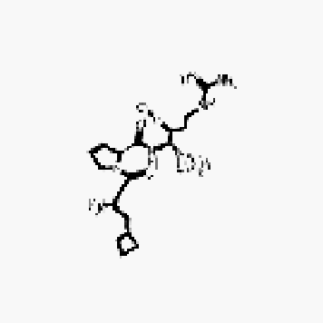 N=C(N)NCCC(=C=O)[C@H](NC(=O)[C@@H]1CCCN1C(=O)[C@H](N)CC1CCC1)C(=O)O